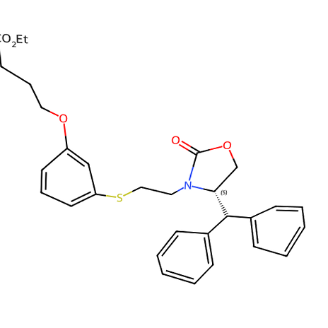 CCOC(=O)CCCOc1cccc(SCCN2C(=O)OC[C@@H]2C(c2ccccc2)c2ccccc2)c1